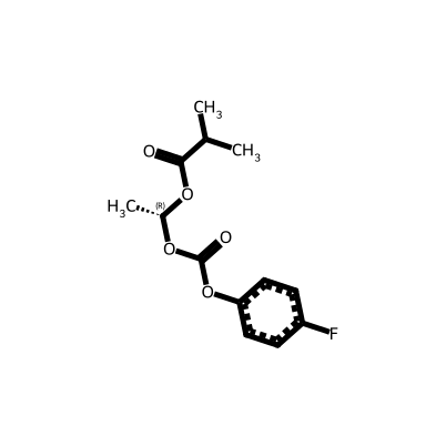 CC(C)C(=O)O[C@@H](C)OC(=O)Oc1ccc(F)cc1